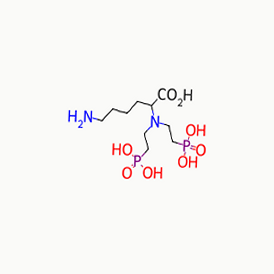 NCCCCC(C(=O)O)N(CCP(=O)(O)O)CCP(=O)(O)O